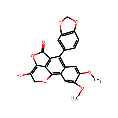 COc1cc2c3c4c(c(-c5ccc6c(c5)OCO6)c2cc1OC)C(=O)OC4=C(O)CO3